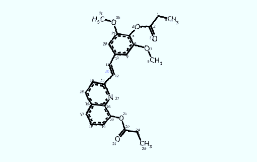 CCC(=O)Oc1c(OC)cc(/C=C/c2ccc3cccc(OC(=O)CC)c3n2)cc1OC